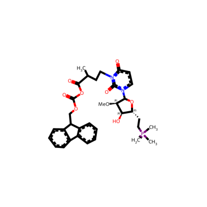 C=P(C)(C)CC[C@H]1OC(n2ccc(=O)n(CCC(C)C(=O)OC(=O)OCC3c4ccccc4-c4ccccc43)c2=O)[C@H](OC)[C@@H]1O